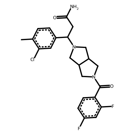 Cc1ccc(C(CC(N)=O)N2CC3CN(C(=O)c4ccc(F)cc4F)CC3C2)cc1Cl